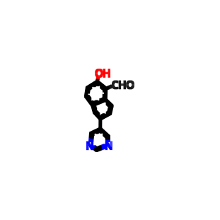 O=Cc1c(O)ccc2cc(-c3cncnc3)ccc12